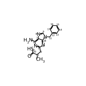 CC(Cc1nc(N)c2ncn(Cc3ccccc3)c2n1)C(=O)S